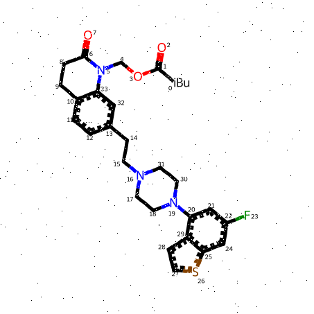 CCC(C)C(=O)OCN1C(=O)CCc2ccc(CCN3CCN(c4cc(F)cc5sccc45)CC3)cc21